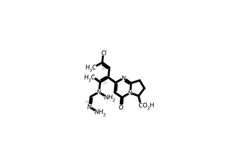 C/C(=C(\C=C(/C)Cl)c1cc(=O)n2c(n1)CCC2C(=O)O)N(N)/C=N\N